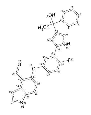 CC(O)(c1ccccc1)c1c[nH]c(-c2cc(Oc3ccc4[nH]ccc4c3C=O)ccc2F)n1